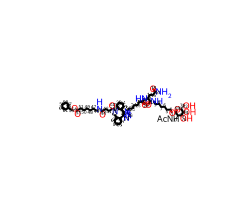 CC(=O)N[C@H]1[C@H](OCCCCCCNC(=O)C(CCC(N)=O)NC(=O)CCCCCn2nnc3c2-c2ccccc2N(C(=O)CCC(=O)NCCCCCCC(=O)OCc2ccccc2)Cc2ccccc2-3)O[C@H](CO)[C@H](O)[C@@H]1O